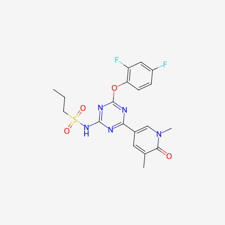 CCCS(=O)(=O)Nc1nc(Oc2ccc(F)cc2F)nc(-c2cc(C)c(=O)n(C)c2)n1